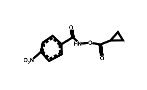 O=C(NOC(=O)C1CC1)c1ccc([N+](=O)[O-])cc1